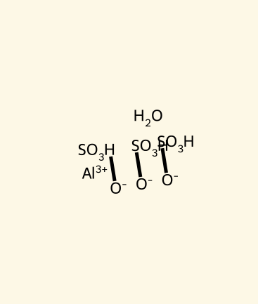 O.O=S(=O)([O-])O.O=S(=O)([O-])O.O=S(=O)([O-])O.[Al+3]